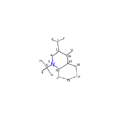 CC(C)C1CN(C(C)(C)C)C2CCCCC2C1C